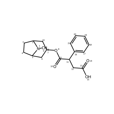 CN1C2CCC1CC(OC(=O)C(CC(=O)O)c1ccccc1)C2